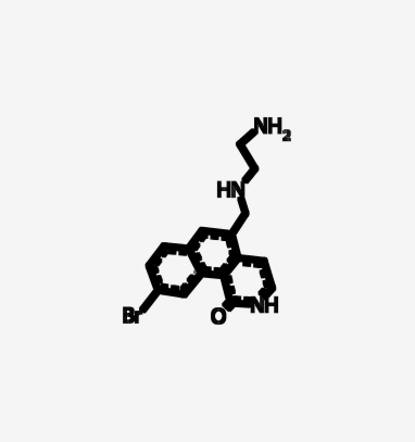 NCCNCc1cc2ccc(Br)cc2c2c(=O)[nH]ccc12